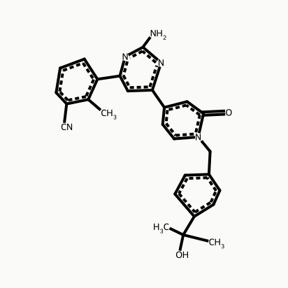 Cc1c(C#N)cccc1-c1cc(-c2ccn(Cc3ccc(C(C)(C)O)cc3)c(=O)c2)nc(N)n1